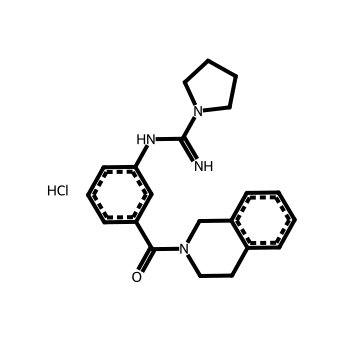 Cl.N=C(Nc1cccc(C(=O)N2CCc3ccccc3C2)c1)N1CCCC1